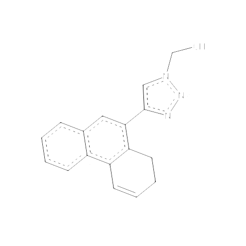 CCn1cc(-c2cc3ccccc3c3c2CCC=C3)nn1